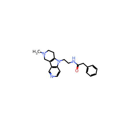 CN1CCc2c(c3cnccc3n2CCNC(=O)Cc2ccccc2)C1